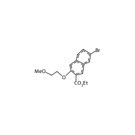 CCOC(=O)c1cc2cc(Br)ccc2cc1OCCOC